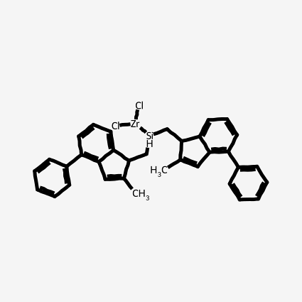 CC1=Cc2c(-c3ccccc3)cccc2C1C[SiH](CC1C(C)=Cc2c(-c3ccccc3)cccc21)[Zr]([Cl])[Cl]